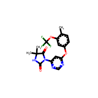 Cc1ccc(Oc2cc(N3C(=O)NC(C)(C)C3=O)ncn2)cc1OC(F)(F)F